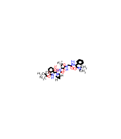 CCC[C@H](NC(=O)[C@@H]1[C@H]2C[C@H]2CN1C(=O)[C@@H](NC(=O)O[C@H](C)C(C)C)C1(O)CCCCC1)C(=O)C(=O)NCC(=O)N[C@H](C(=O)N(C)C)c1ccccc1